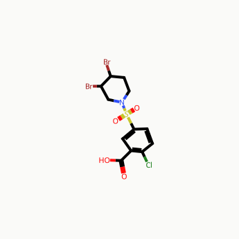 O=C(O)c1cc(S(=O)(=O)N2CCC(Br)C(Br)C2)ccc1Cl